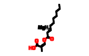 CCCCCCCCCC(=O)OC=C(C)C(=O)O.[MgH2]